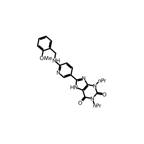 CCCn1c(=O)c2[nH]c(-c3ccc(NCc4ccccc4OC)nc3)nc2n(CCC)c1=O